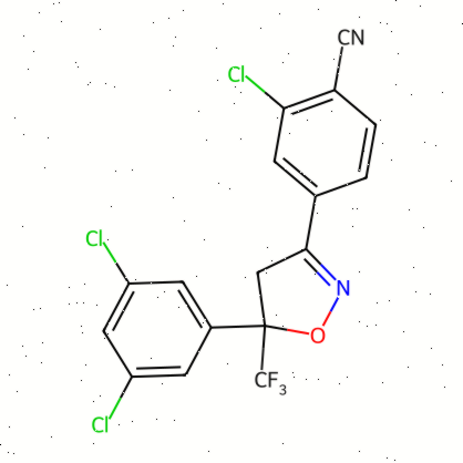 N#Cc1ccc(C2=NOC(c3cc(Cl)cc(Cl)c3)(C(F)(F)F)C2)cc1Cl